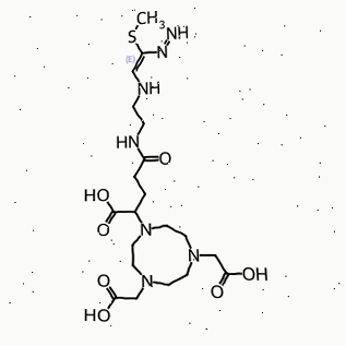 CS/C(=C/NCCNC(=O)CCC(C(=O)O)N1CCN(CC(=O)O)CCN(CC(=O)O)CC1)N=N